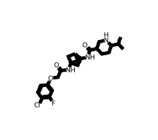 CC(C)C1CCC(C(=O)NC2CC3(NC(=O)COc4ccc(Cl)c(F)c4)CC2C3)CN1